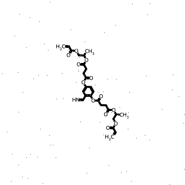 C=CC(=O)OCC(C)OC(=O)CCC(=O)Oc1ccc(OC(=O)CCC(=O)OC(C)COC(=O)C=C)c(C=N)c1